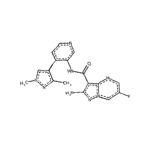 Cc1nn(C)cc1-c1ccncc1NC(=O)c1c(N)nn2cc(F)cnc12